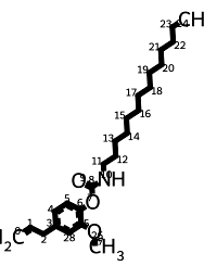 C=CCc1ccc(OC(=O)NCCCCCCCCCCCCCC)c(OC)c1